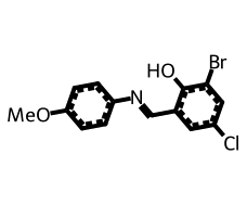 COc1ccc(/N=C/c2cc(Cl)cc(Br)c2O)cc1